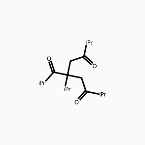 CC(C)C(=O)CC(CC(=O)C(C)C)(C(=O)C(C)C)C(C)C